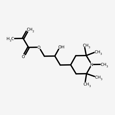 C=C(C)C(=O)OCC(O)CC1CC(C)(C)N(C)C(C)(C)C1